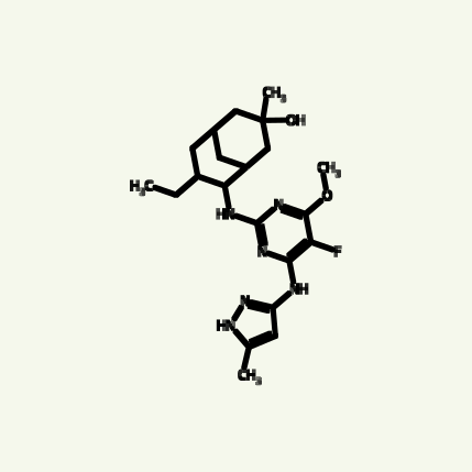 CCC1CC2CC(CC(C)(O)C2)C1Nc1nc(Nc2cc(C)[nH]n2)c(F)c(OC)n1